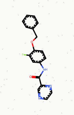 O=C(Nc1ccc(OCc2ccccc2)c(F)c1)c1cnccn1